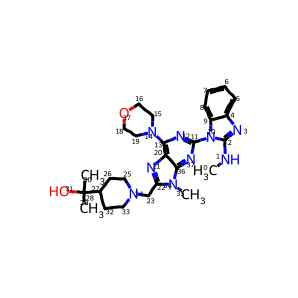 CNc1nc2ccccc2n1-c1nc(N2CCOCC2)c2nc(CN3CCC(C(C)(C)O)CC3)n(C)c2n1